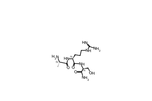 C[C@H](N)C(=O)N[C@@H](CCCNC(=N)N)C(=O)N[C@@H](CO)C(N)=O